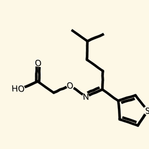 CC(C)CCC(=NOCC(=O)O)c1ccsc1